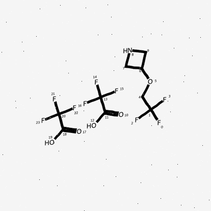 FC(F)(F)COC1CNC1.O=C(O)C(F)(F)F.O=C(O)C(F)(F)F